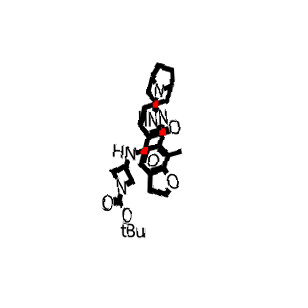 Cc1c(C(=O)NC2CC3CCC(C2)N3c2ccc(C(=O)NC3CN(C(=O)OC(C)(C)C)C3)cn2)ccc2c1OCC2